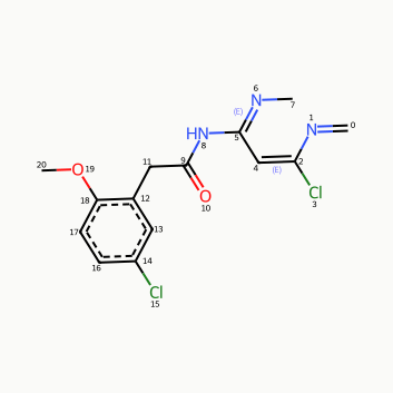 C=N/C(Cl)=C\C(=N/C)NC(=O)Cc1cc(Cl)ccc1OC